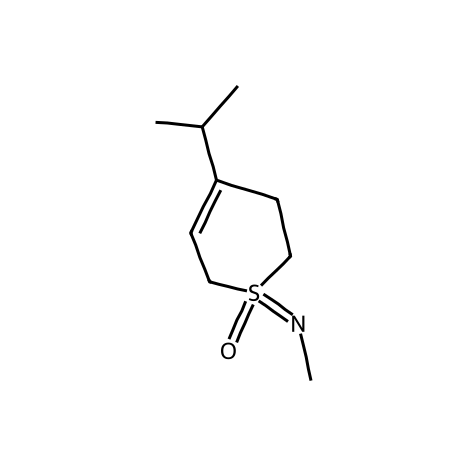 CN=S1(=O)CC=C(C(C)C)CC1